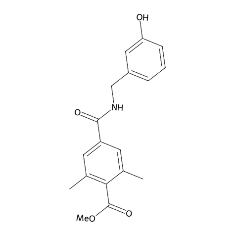 COC(=O)c1c(C)cc(C(=O)NCc2cccc(O)c2)cc1C